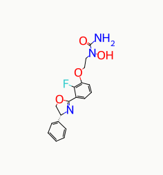 NC(=O)N(O)CCOc1cccc(C2=N[C@H](c3ccccc3)CO2)c1F